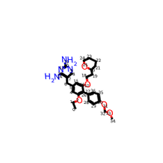 CCOc1cc(Cc2cnc(N)nc2N)cc(OCCC2CCCCO2)c1-c1ccc(OCOC)cc1